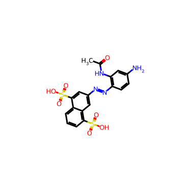 CC(=O)Nc1cc(N)ccc1N=Nc1cc(S(=O)(=O)O)c2cccc(S(=O)(=O)O)c2c1